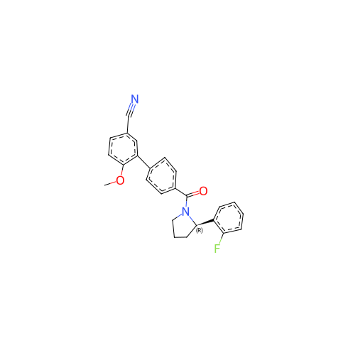 COc1ccc(C#N)cc1-c1ccc(C(=O)N2CCC[C@@H]2c2ccccc2F)cc1